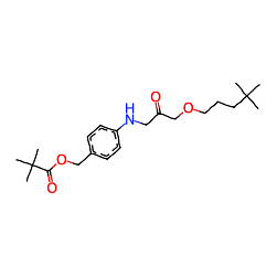 CC(C)(C)CCCOCC(=O)CNc1ccc(COC(=O)C(C)(C)C)cc1